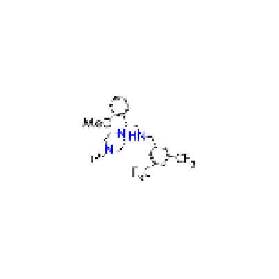 COc1ccccc1C(CNCc1cc(C(F)(F)F)cc(C(F)(F)F)c1)N1CCN(C(C)C)CC1